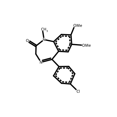 COc1cc2c(cc1OC)N(C)C(=O)CN=C2c1ccc(Cl)cc1